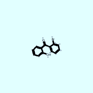 O=C(c1ccccc1O)c1ccccc1Br